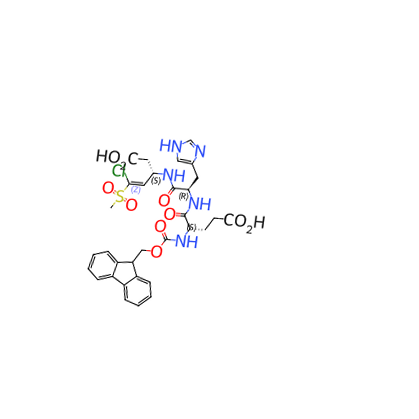 CS(=O)(=O)/C(Cl)=C/[C@H](CC(=O)O)NC(=O)[C@@H](Cc1c[nH]cn1)NC(=O)[C@H](CCC(=O)O)NC(=O)OCC1c2ccccc2-c2ccccc21